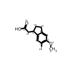 COc1cc2c(cc1I)C(CC(=O)O)CC2